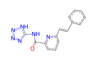 O=C(Nc1nnn[nH]1)c1cccc(C=Cc2ccccc2)n1